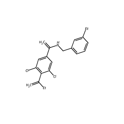 C=C(NCc1cccc(CC)c1)c1cc(Cl)c(C(=C)CC)c(Cl)c1